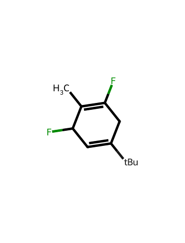 CC1=C(F)CC(C(C)(C)C)=CC1F